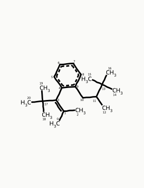 CC(C)=C(c1ccccc1CC(C)C(C)(C)C)C(C)(C)C